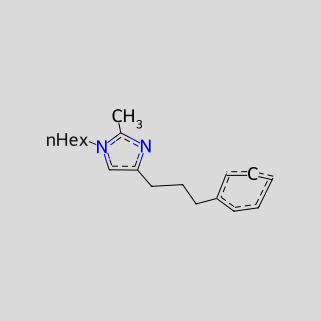 CCCCCCn1cc(CCCc2ccccc2)nc1C